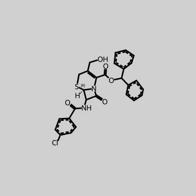 O=C(OC(c1ccccc1)c1ccccc1)C1=C(CO)CS[C@@H]2C(NC(=O)c3ccc(Cl)cc3)C(=O)N12